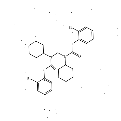 CCc1ccccc1OC(=O)N(CN(C(=O)Oc1ccccc1CC)C1CCCCC1)C1CCCCC1